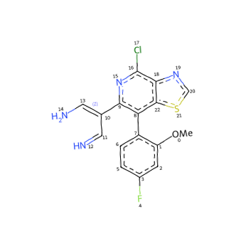 COc1cc(F)ccc1-c1c(/C(C=N)=C/N)nc(Cl)c2ncsc12